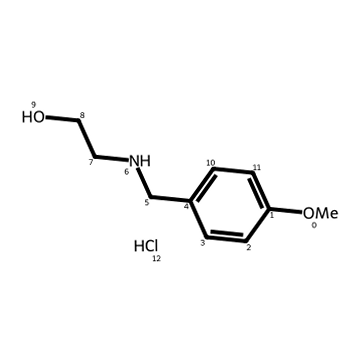 COc1ccc(CNCCO)cc1.Cl